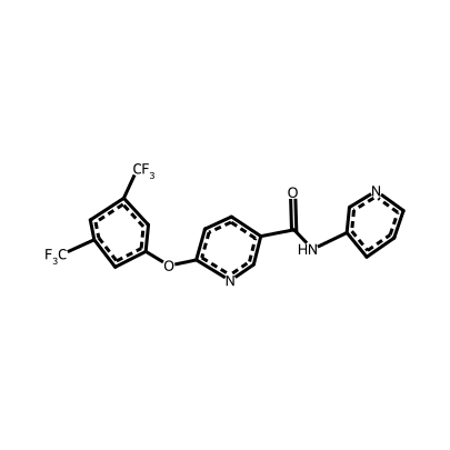 O=C(Nc1cccnc1)c1ccc(Oc2cc(C(F)(F)F)cc(C(F)(F)F)c2)nc1